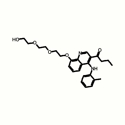 CCCC(=O)c1cnc2c(OCCOCCOCCO)cccc2c1Nc1ccccc1C